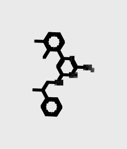 Cc1cccc(C2=CC(NCC(C)c3ccccc3)NC(N)=N2)c1C